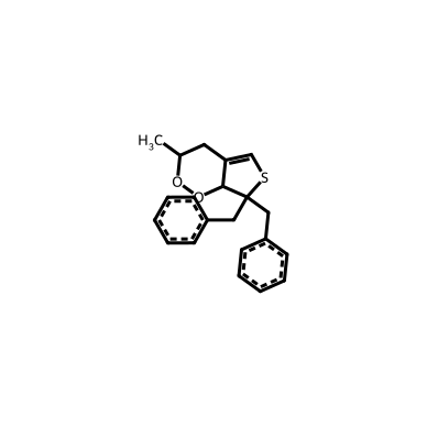 CC1CC2=CSC(Cc3ccccc3)(Cc3ccccc3)C2OO1